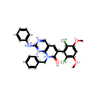 COc1cc(OC)c(Cl)c(-c2cc3cnc(Nc4ccccc4)nc3n(Cc3ccccc3)c2=O)c1Cl